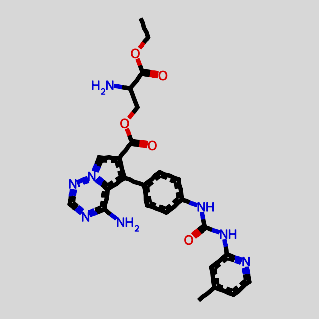 CCOC(=O)C(N)COC(=O)c1cn2ncnc(N)c2c1-c1ccc(NC(=O)Nc2cc(C)ccn2)cc1